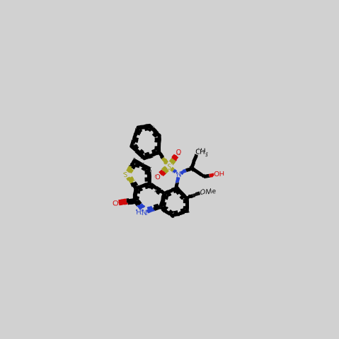 COc1ccc2[nH]c(=O)c3sccc3c2c1N(C(C)CO)S(=O)(=O)c1ccccc1